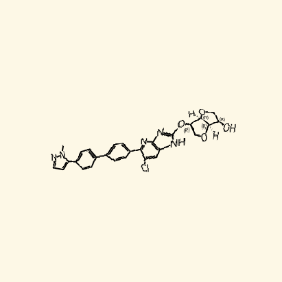 Cn1nccc1-c1ccc(-c2ccc(-c3nc4nc(O[C@@H]5CO[C@H]6[C@@H]5OC[C@H]6O)[nH]c4cc3Cl)cc2)cc1